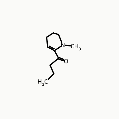 CCCC(=O)C1=CCCCN1C